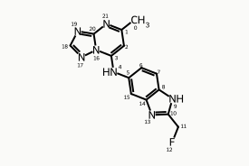 Cc1cc(Nc2ccc3[nH]c(CF)nc3c2)n2ncnc2n1